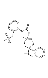 CN(C)[C@]1(c2ccccc2)CC[C@@]2(CC1)CN(c1ccccc1CS(C)(=O)=O)C(=O)N2